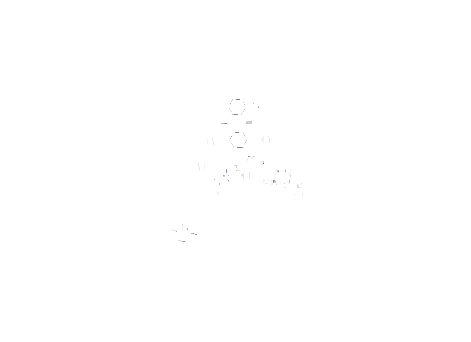 CO[C@H]1OCCN2[C@@H]1O[C@@H]1[C@H](C)O[C@@H](O[C@H]3C[C@](O)(/C(CO)=N/NC(=O)CCCCCN4C(=O)C=CC4=O)Cc4c(O)c5c(c(O)c43)C(=O)c3c(N)cccc3C5=O)C[C@@H]12